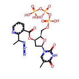 Cc1cn([C@H]2C[C@@H](OC(=O)c3cccnc3C(C)N=[N+]=[N-])[C@@H](COP(=O)(O)OP(=O)(O)OP(=O)(O)O)O2)c(=O)[nH]c1=O